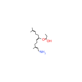 CC(C)=CCCC(C)=CCCC(C)=CCN.CCC(=O)O